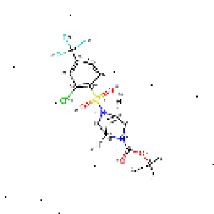 CC(C)(C)OC(=O)N1C[C@H]2C[C@@H]1CN2S(=O)(=O)c1ccc(C(F)(F)F)cc1Cl